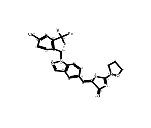 O=C1N=C(N2CCCO2)S/C1=C\c1ccc2c(cnn2Cc2ccc(Cl)cc2C(F)(F)F)c1